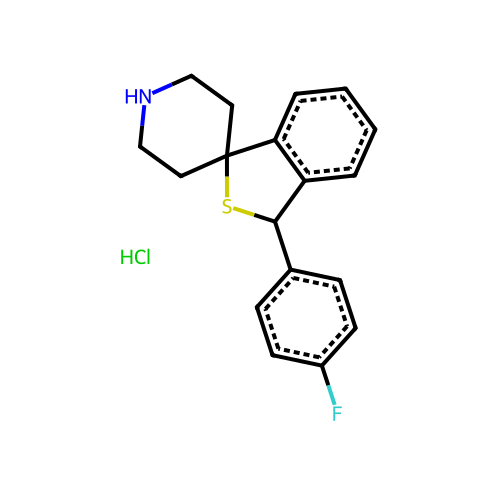 Cl.Fc1ccc(C2SC3(CCNCC3)c3ccccc32)cc1